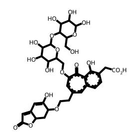 O=C(O)Cc1ccc2cc(CCOC3CC4OC(=O)C=C4C=C3O)cc(OCC3OC(OC4C(CO)OC(O)C(O)C4O)C(O)C(O)C3O)c(=O)c2c1O